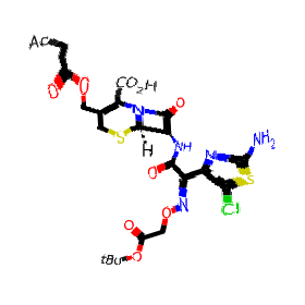 CC(=O)CC(=O)OCC1=C(C(=O)O)N2C(=O)[C@@H](NC(=O)/C(=N\OCC(=O)OC(C)(C)C)c3nc(N)sc3Cl)[C@H]2SC1